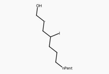 CCCCCCCCC(I)C[CH]CO